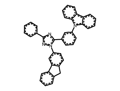 c1ccc(-c2nc(-c3cccc(-n4c5ccccc5c5ccccc54)c3)n(-c3ccc4c(c3)-c3ccccc3C4)n2)cc1